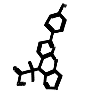 COC(=O)C(C)(C)C1c2ccncc2Oc2nc(-c3ccc(C(C)=O)cc3)ccc21